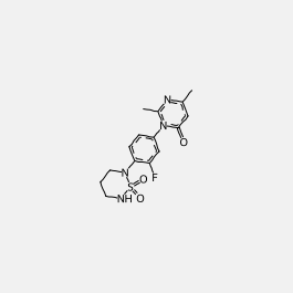 Cc1cc(=O)n(-c2ccc(N3CCCNS3(=O)=O)c(F)c2)c(C)n1